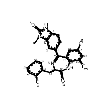 Cn1c(=O)[nH]c2ccc(C3=NC(Cc4ccccc4Cl)C(=O)Nc4c(F)cc(Cl)cc43)cc21